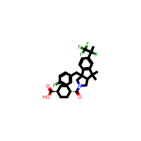 CC1(C)c2cc(C(C)(F)C(F)(F)F)ccc2C2(Cc3ccc(F)cc3)CN(C(=O)[C@H]3CC[C@H](C(=O)O)CC3)CC12